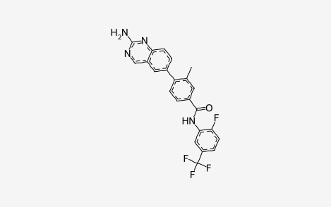 Cc1cc(C(=O)Nc2cc(C(F)(F)F)ccc2F)ccc1-c1ccc2nc(N)ncc2c1